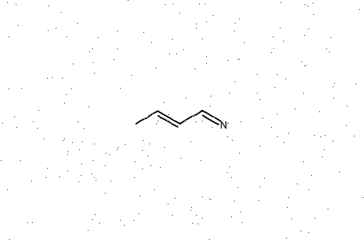 CC=CC=[N]